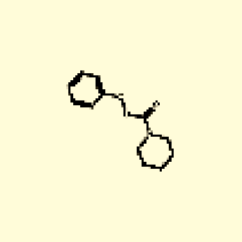 O=C(OOc1ccccc1)N1CCCCC1